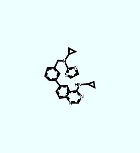 c1cc(CN(c2nccs2)C2CC2)cc(-c2ccc3ncnc(NC4CC4)c3c2)c1